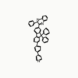 c1ccc(-c2nc3ccccc3nc2-c2ccc3c(c2)C(c2ccccc2)(c2ccccc2)c2cc(-c4ccc(-c5ccncc5)cc4)ccc2-3)cc1